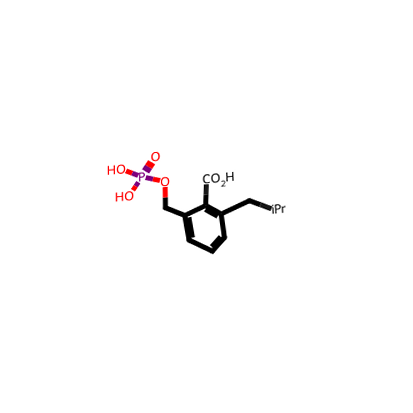 CC(C)Cc1cccc(COP(=O)(O)O)c1C(=O)O